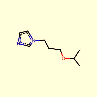 CC(C)OCCCn1ccnc1